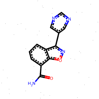 NC(=O)c1cccc2c(-c3cncnc3)noc12